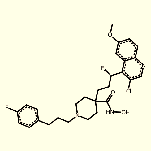 COc1ccc2ncc(Cl)c([C@H](F)CCC3(C(=O)NO)CCN(CCCc4ccc(F)cc4)CC3)c2c1